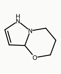 C1=CC2OCCCN2N1